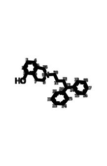 Oc1cccc2c1CCN(CCCC(c1ccccc1)c1ccccc1)C2